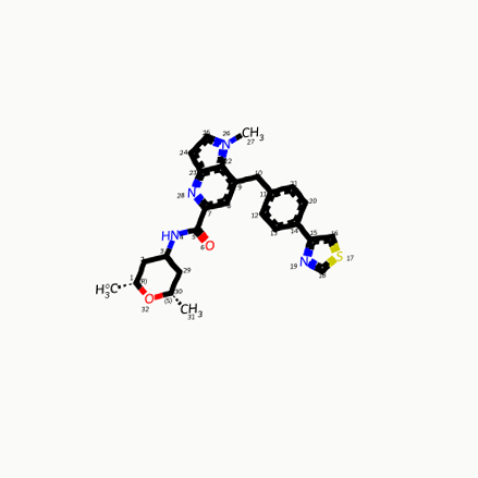 C[C@@H]1CC(NC(=O)c2cc(Cc3ccc(-c4cscn4)cc3)c3c(ccn3C)n2)C[C@H](C)O1